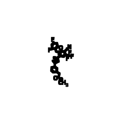 COC(=O)Cc1cccc(-c2csc(-c3cc(C(F)(F)F)c(C#N)c(=O)n3Cc3ccc(F)cc3F)c2)c1